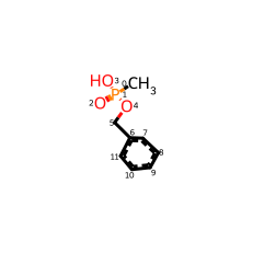 CP(=O)(O)OCc1ccccc1